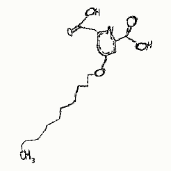 CCCCCCCCCCOc1cc(C(=O)O)nc(C(=O)O)c1